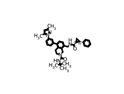 Cc1cc(C)n(-c2cccc(-c3ccc(CNC(=O)[C@H]4C[C@@H]4c4ccccc4)c4c3CCN(C(=O)NC(C)(C)C)C4)c2)n1